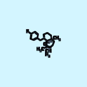 CC1(C)O[C@]23C[C@H]1CC[C@]2(C)CCC=C3Cc1ccc(F)cc1